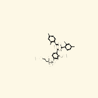 CC[N+](C=O)(CCO)Oc1ccc(-c2nc(-c3ccc(C)cc3C)nc(-c3ccc(C)cc3C)n2)c(O)c1